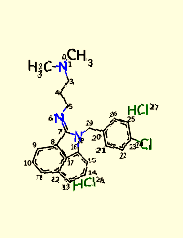 CN(C)CCCN=C1c2cccc3cccc(c23)N1Cc1ccc(Cl)cc1.Cl.Cl